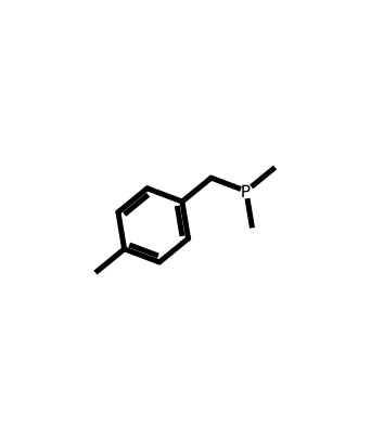 Cc1ccc(CP(C)C)cc1